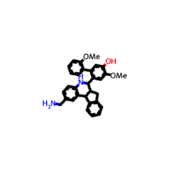 COc1cc(C2Nc3ccc(CN)cc3C3c4ccccc4CC23)c(-c2ccccc2OC)cc1O